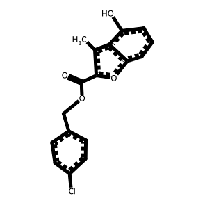 Cc1c(C(=O)OCc2ccc(Cl)cc2)oc2cccc(O)c12